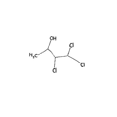 CC(O)C(Cl)C(Cl)Cl